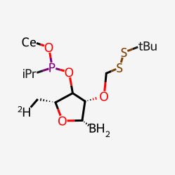 [2H]C[C@H]1O[C@@H](B)[C@@H](OCSSC(C)(C)C)C1OP([O][Ce])C(C)C